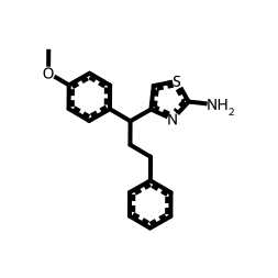 COc1ccc(C(CCc2ccccc2)c2csc(N)n2)cc1